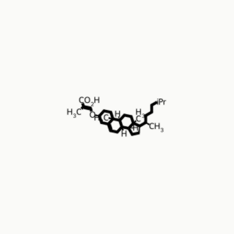 CC(=CO[C@H]1CC[C@@]2(C)C(=CC[C@H]3[C@@H]4CC[C@H]([C@H](C)CCCC(C)C)[C@@]4(C)CC[C@@H]32)C1)C(=O)O